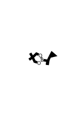 C=C(B1OCC(C)(C)CO1)C1CC1